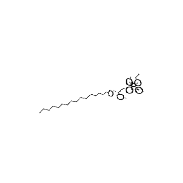 CCCCCCCCCCCCCCCCOCC(COP(=O)(OC)OCC)OC